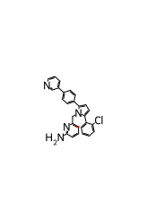 Nc1cccc(Cn2c(-c3ccc(-c4cccnc4)cc3)ccc2-c2ccccc2Cl)n1